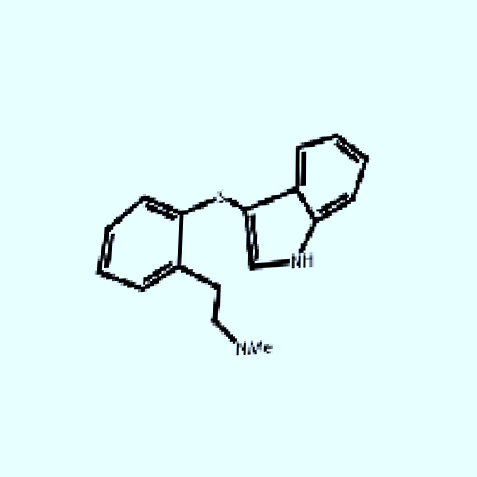 CNCCc1ccccc1Sc1c[nH]c2ccccc12